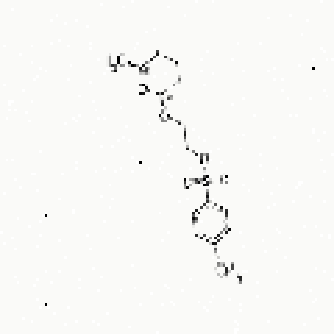 Cc1ccc(S(=O)(=O)OCCO[C@@H]2[CH][CH][CH][C@H](C)O2)cc1